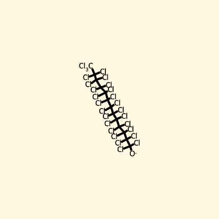 [O]C(Cl)(Cl)C(Cl)(Cl)C(Cl)(Cl)C(Cl)(Cl)C(Cl)(Cl)C(Cl)(Cl)C(Cl)(Cl)C(Cl)(Cl)C(Cl)(Cl)C(Cl)(Cl)C(Cl)(Cl)C(Cl)(Cl)C(Cl)(Cl)Cl